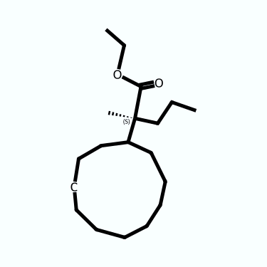 CCC[C@](C)(C(=O)OCC)C1CCCCCCCCCC1